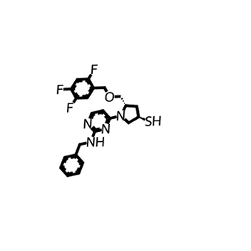 Fc1cc(F)c(COC[C@@H]2C[C@@H](S)CN2c2ccnc(NCc3ccccc3)n2)cc1F